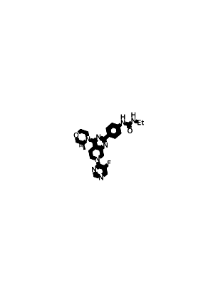 CCNC(=O)Nc1ccc(-c2nc3c(c(N4CCOC[C@@H]4C)n2)CCN(c2ncncc2F)C3)cc1